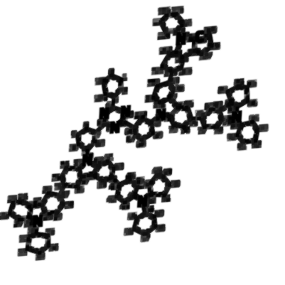 c1ccc(-c2nc(-c3cccc(-n4c5ccc(-c6ccc7c(c6)c6ccccc6n7-c6ccccc6)cc5c5cc(-c6ccc7c(c6)c6ccccc6n7-c6ccccc6)ccc54)c3)nc(-c3cccc(-n4c5ccc(-c6ccc7c(c6)c6ccccc6n7-c6ccccc6)cc5c5cc(-c6ccc7c(c6)c6ccccc6n7-c6ccccc6)ccc54)c3)n2)cc1